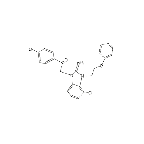 N=c1n(CC(=O)c2ccc(Cl)cc2)c2cccc(Cl)c2n1CCOc1ccccc1